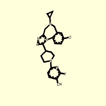 N#Cc1ccc(N2CCC(c3nnc4n3-c3ccc(Cl)cc3CN(C3CC3)C4)CC2)nc1F